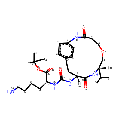 CC(C)[C@H]1COCCC(=O)Nc2ccc(cc2)C[C@@H](NC(=O)N[C@@H](CCCCN)C(=O)OC(C)(C)C)C(=O)N1